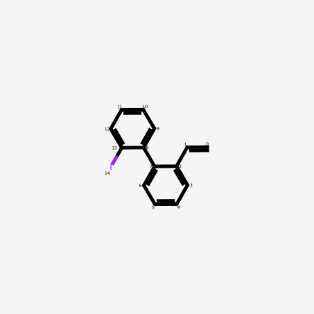 C=Cc1ccccc1-c1ccccc1I